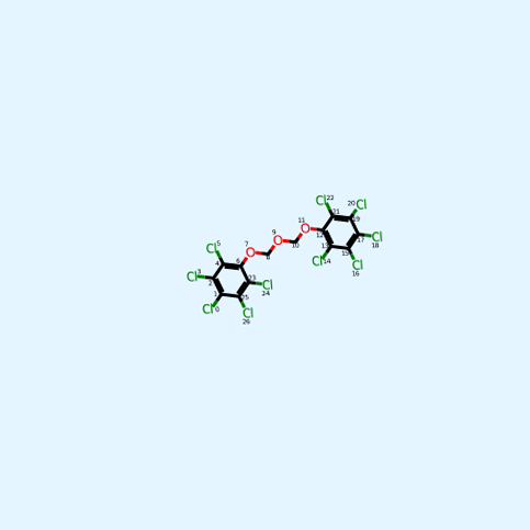 Clc1c(Cl)c(Cl)c(OCOCOc2c(Cl)c(Cl)c(Cl)c(Cl)c2Cl)c(Cl)c1Cl